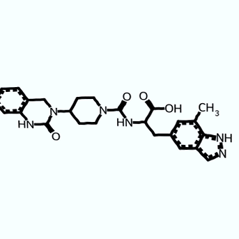 Cc1cc(CC(NC(=O)N2CCC(N3Cc4ccccc4NC3=O)CC2)C(=O)O)cc2cn[nH]c12